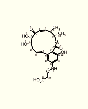 C[C@@H]1/C=C\C(=O)[C@@H](O)[C@@H](O)C/C=C/c2cc(NOCC(=O)O)cc(O)c2C(=O)O[C@H]1C